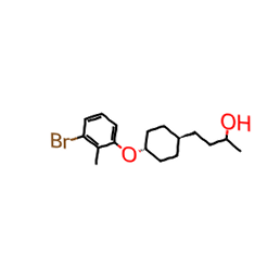 Cc1c(Br)cccc1O[C@H]1CC[C@H](CCC(C)O)CC1